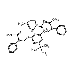 C=C(C)[C@@H]1CCC(C)=C[C@H]1c1c(OCN(C(=O)OC)c2ccccc2)cc(C(C)(C)CCCCCC)cc1OCN(C(=O)OC)c1ccccc1